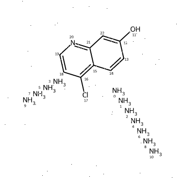 N.N.N.N.N.N.N.N.N.N.N.Oc1ccc2c(Cl)ccnc2c1